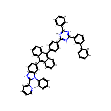 c1ccc(-c2cccc(-c3nc(-c4ccccc4)nc(-c4ccc(-c5c6ccccc6c(-c6ccc7nc(-c8ccccn8)n(-c8ccccc8)c7c6)c6ccccc56)cc4)n3)c2)cc1